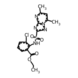 CCOC(=O)c1cccc(Cl)c1NS(=O)(=O)c1nc2nc(C)cc(C)n2n1